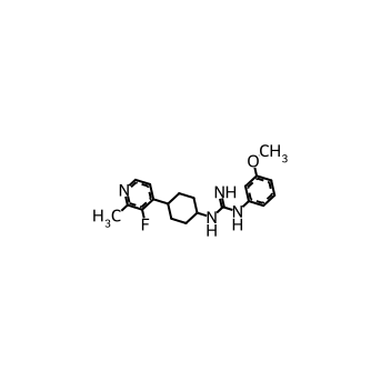 COc1cccc(NC(=N)NC2CCC(c3ccnc(C)c3F)CC2)c1